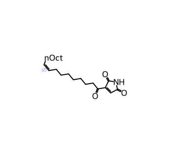 CCCCCCCC/C=C\CCCCCCCC(=O)C1=CC(=O)NC1=O